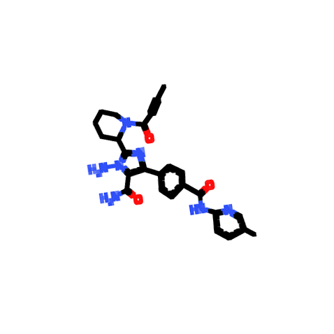 CC#CC(=O)N1CCCCC1c1nc(-c2ccc(C(=O)Nc3ccc(C)cn3)cc2)c(C(N)=O)n1N